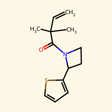 C=CC(C)(C)C(=O)N1CCC1c1cccs1